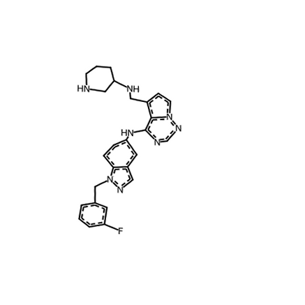 Fc1cccc(Cn2ncc3cc(Nc4ncnn5ccc(CNC6CCCNC6)c45)ccc32)c1